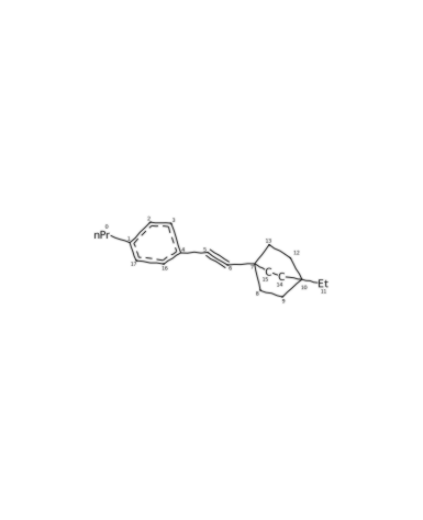 CCCc1ccc(C#CC23CCC(CC)(CC2)CC3)cc1